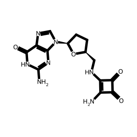 Nc1nc2c(ncn2[C@H]2CC[C@@H](CNc3c(N)c(=O)c3=O)O2)c(=O)[nH]1